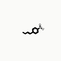 CC/C=C/c1ccc([N+](=O)[O-])cc1